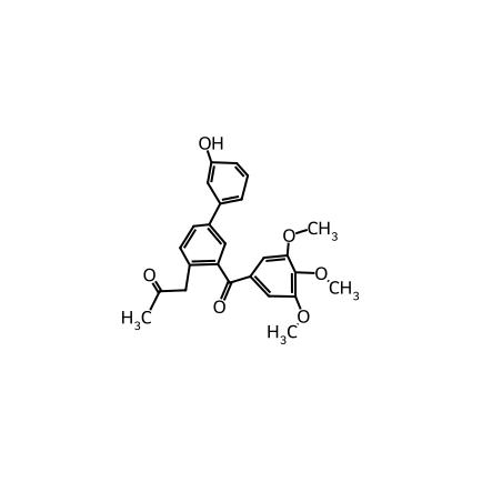 COc1cc(C(=O)c2cc(-c3cccc(O)c3)ccc2CC(C)=O)cc(OC)c1OC